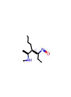 C=C(NC)/C(CCC)=C(\CC)N=O